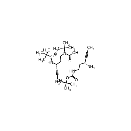 CC#C[C@@H](CCN(C(=O)O)C(C)(C)C)N[S@+]([O-])C(C)(C)C.CC#C[C@H](N)CCNC(=O)OC(C)(C)C